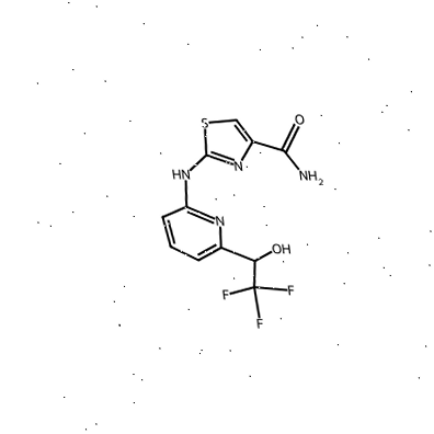 NC(=O)c1csc(Nc2cccc(C(O)C(F)(F)F)n2)n1